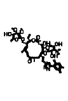 CC[C@H]1OC(=O)C[C@@H](O)[C@H](C)[C@@H](O[C@@H]2O[C@H](C)[C@@H](O)C(N(C)C)C2O)[C@@H](CCn2cc(-c3cc(C)c(C)cc3C)nn2)C[C@@H](C)C(=O)/C=C/C(C)=C/[C@@H]1COC1=C(OC)[C@@H](OC)[C@H](O)C(C)O1